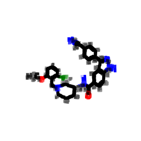 COc1cccc(F)c1CN1CCC[C@@H](NC(=O)c2ccc3[nH]nc(-c4ccc(C#N)cc4)c3c2)C1